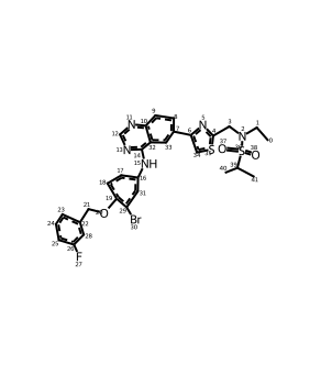 CCN(Cc1nc(-c2ccc3ncnc(Nc4ccc(OCc5cccc(F)c5)c(Br)c4)c3c2)cs1)S(=O)(=O)C(C)C